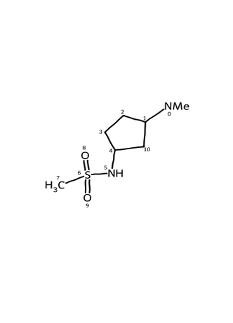 CNC1CCC(NS(C)(=O)=O)C1